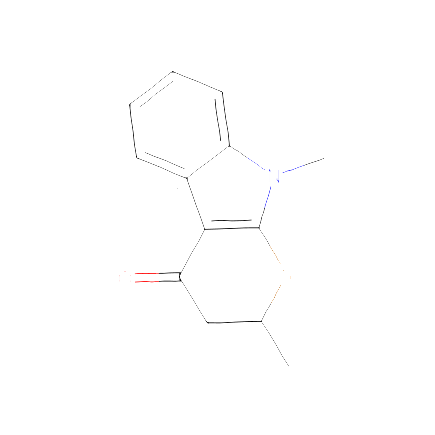 CC1CC(=O)c2c(n(C)c3ccccc23)S1